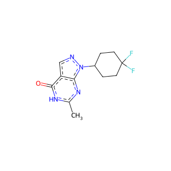 Cc1nc2c(cnn2C2CCC(F)(F)CC2)c(=O)[nH]1